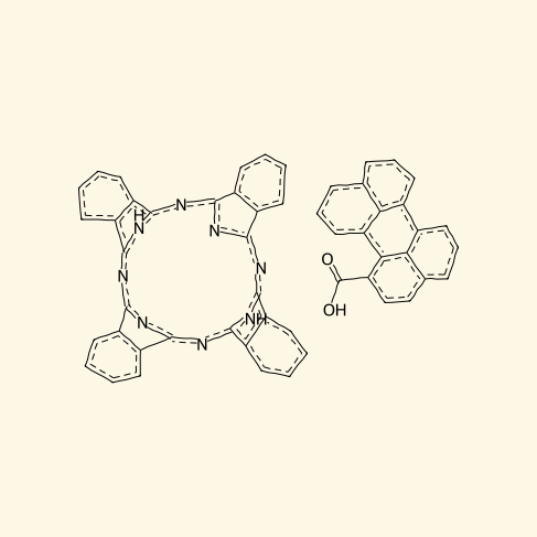 O=C(O)c1ccc2cccc3c4cccc5cccc(c1c23)c54.c1ccc2c(c1)-c1nc-2nc2[nH]c(nc3nc(nc4[nH]c(n1)c1ccccc41)-c1ccccc1-3)c1ccccc21